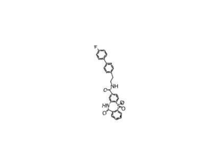 O=C(NCCc1ccc(-c2ccc(F)cc2)cc1)c1ccc2c(c1)NC(=O)c1ccccc1S2(=O)=O